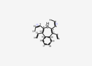 C=CC1=C(/C=C\C)BC(/C=C\C)=C(C=C)c2ccccc21